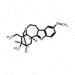 CCC1C2[C@H]3C[C@@H](CN2CCC2C3=Nc3ccc(OC)cc32)[C@@H]1C